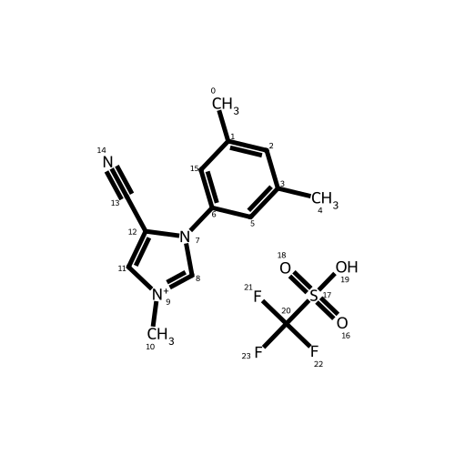 Cc1cc(C)cc(-n2c[n+](C)cc2C#N)c1.O=S(=O)(O)C(F)(F)F